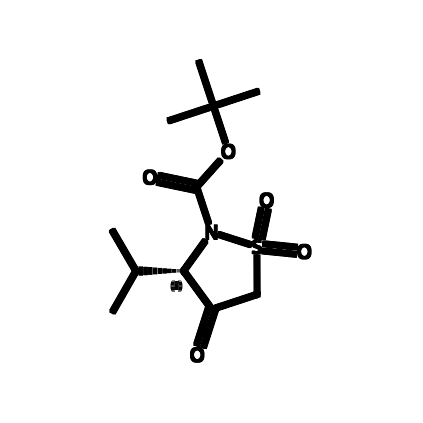 CC(C)[C@H]1C(=O)CS(=O)(=O)N1C(=O)OC(C)(C)C